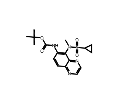 CN(c1c(NC(=O)OC(C)(C)C)ccc2nccnc12)S(=O)(=O)C1CC1